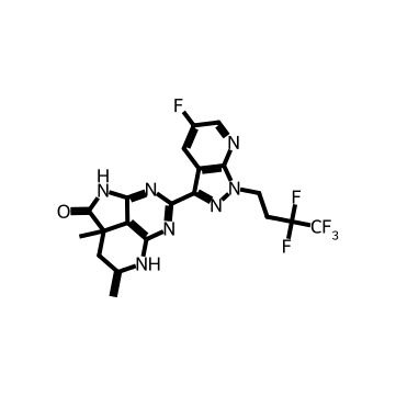 C=C1CC2(C)C(=O)Nc3nc(-c4nn(CCC(F)(F)C(F)(F)F)c5ncc(F)cc45)nc(c32)N1